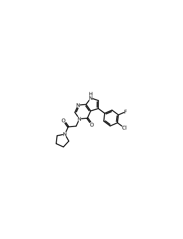 O=C(Cn1cnc2[nH]cc(-c3ccc(Cl)c(F)c3)c2c1=O)N1CCCC1